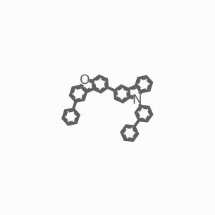 c1ccc(-c2cccc(-n3c4ccccc4c4cc(-c5ccc6oc7ccc(-c8ccccc8)cc7c6c5)ccc43)c2)cc1